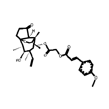 C=C[C@]1(C)C[C@@H](OC(=O)COC(=O)/C=C/c2ccc(OC)cc2)[C@]2(C)[C@H](C)CC[C@]3(CCC(=O)[C@H]32)[C@@H](C)[C@@H]1O